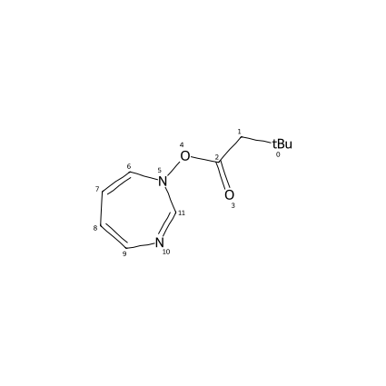 CC(C)(C)CC(=O)ON1C=CC=CN=C1